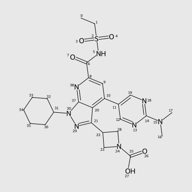 CCS(=O)(=O)NC(=O)c1cc(-c2cnc(N(C)C)nc2)c2c(C3CN(C(=O)O)C3)nn(C3CCCCC3)c2n1